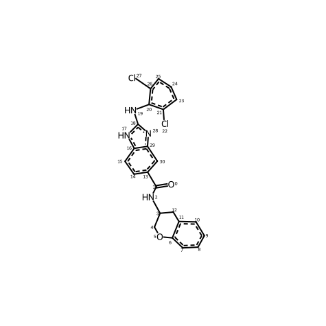 O=C(NC1COc2ccccc2C1)c1ccc2[nH]c(Nc3c(Cl)cccc3Cl)nc2c1